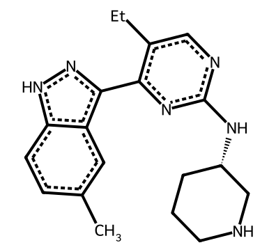 CCc1cnc(N[C@H]2CCCNC2)nc1-c1n[nH]c2ccc(C)cc12